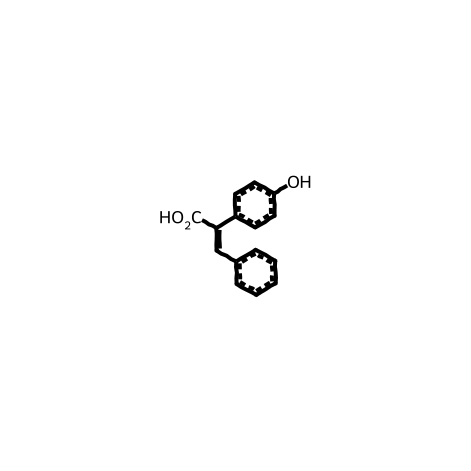 O=C(O)/C(=C/c1ccccc1)c1ccc(O)cc1